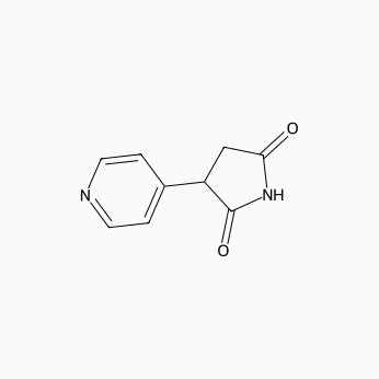 O=C1CC(c2ccncc2)C(=O)N1